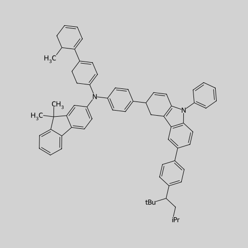 CC(C)CC(c1ccc(-c2ccc3c(c2)c2c(n3-c3ccccc3)C=CC(c3ccc(N(C4=CC=C(C5=CC=CCC5C)CC4)c4ccc5c(c4)C(C)(C)c4ccccc4-5)cc3)C2)cc1)C(C)(C)C